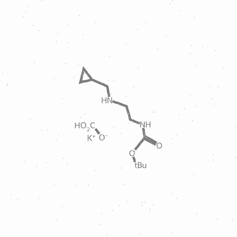 CC(C)(C)OC(=O)NCCNCC1CC1.O=C([O-])O.[K+]